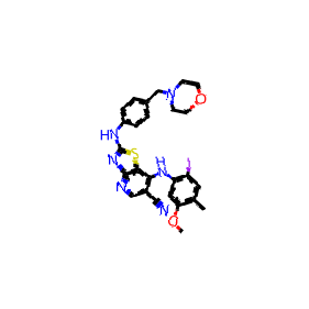 COc1cc(Nc2c(C#N)cnc3nc(Nc4ccc(CN5CCOCC5)cc4)sc23)c(I)cc1C